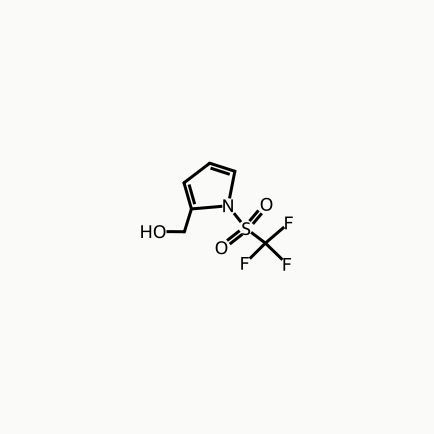 O=S(=O)(n1cccc1CO)C(F)(F)F